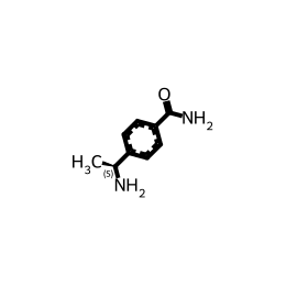 C[C@H](N)c1ccc(C(N)=O)cc1